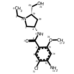 CCN1C[C@@H](NC(=O)c2cc(Cl)c(N)cc2OC)C[C@H]1CO